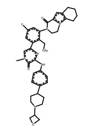 CC(=O)OCc1c(-c2cn(C)c(=O)c(Nc3ccc(C4CCN(C5COC5)CC4)cc3)n2)cc(F)cc1N1CCn2c(cc3c2CCCC3)C1=O